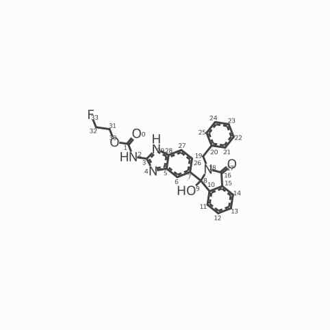 O=C(Nc1nc2cc(C3(O)c4ccccc4C(=O)N3Cc3ccccc3)ccc2[nH]1)OCCF